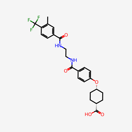 Cc1cc(C(=O)NCCNC(=O)c2ccc(O[C@H]3CC[C@@H](C(=O)O)CC3)cc2)ccc1C(F)(F)F